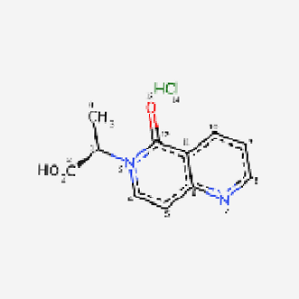 C[C@H](C(=O)O)n1ccc2ncccc2c1=O.Cl